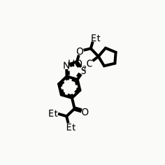 CCC(CC)C(=O)c1ccc2nc(OC(CC)C3(C(=O)O)CCCC3)sc2c1